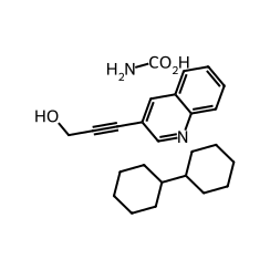 C1CCC(C2CCCCC2)CC1.NC(=O)O.OCC#Cc1cnc2ccccc2c1